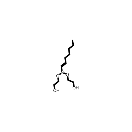 CCCCCC=CN(OCCO)OCCO